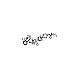 CN(C)[C@]1(c2ccccc2)CC[C@@]2(CC1)CN(c1cnc(N3CCN(CC(N)=O)CC3)nc1)C(=O)N2